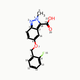 Cn1nc2ccc(OCc3ccccc3F)cc2c1C(=O)O